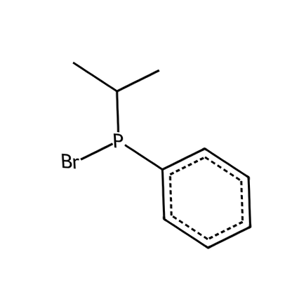 CC(C)P(Br)c1ccccc1